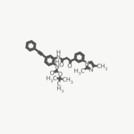 Cc1cn(-c2cccc(C(=O)CC(=O)Nc3cc(C#Cc4ccccc4)ccc3NC(=O)OC(C)(C)C)c2)c(C)n1